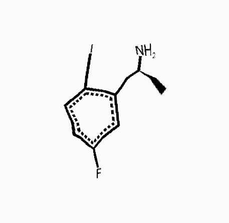 C[C@H](N)c1cc(F)ccc1I